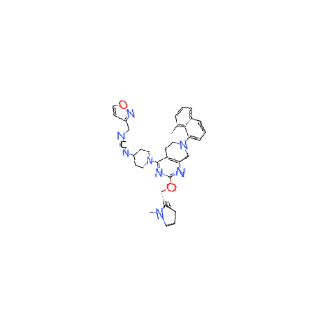 Cc1cccc2cccc(N3CCc4c(nc(OC[C@@H]5CCCN5C)nc4N4CCC(N=C=NCc5ccon5)CC4)C3)c12